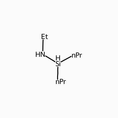 CCC[SiH](CCC)NCC